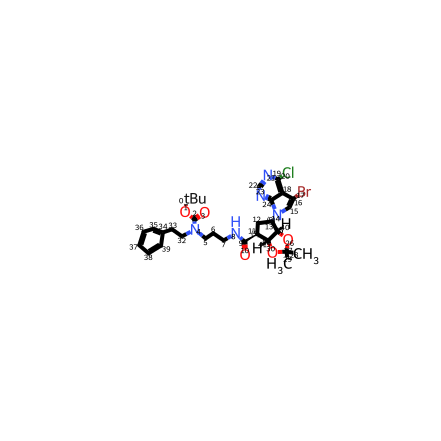 CC(C)(C)OC(=O)N(CCCNC(=O)[C@H]1C[C@@H](n2cc(Br)c3c(Cl)ncnc32)[C@@H]2OC(C)(C)O[C@@H]21)CCc1ccccc1